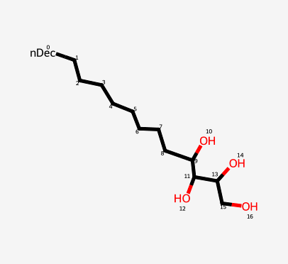 CCCCCCCCCCCCCCCCCCC(O)C(O)C(O)CO